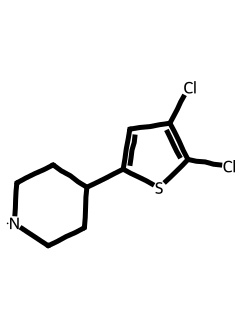 Clc1cc(C2CC[N]CC2)sc1Cl